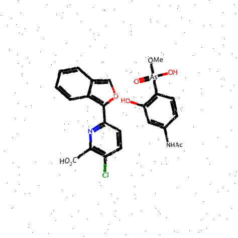 CO[As](=O)(O)c1ccc(NC(C)=O)cc1O.O=C(O)c1nc(-c2occ3ccccc23)ccc1Cl